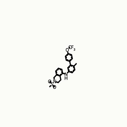 Cc1ccc(Nc2cccc3c2CCN(S(C)(=O)=O)C3)cc1-c1ccc(OC(F)(F)F)cc1